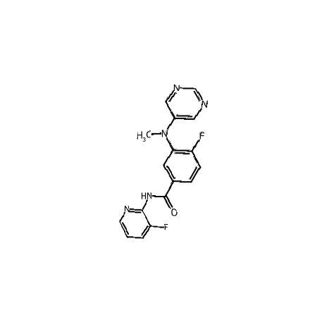 CN(c1cncnc1)c1cc(C(=O)Nc2ncccc2F)ccc1F